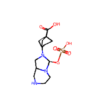 O=C(O)C12CC(N3CC4CNCCN4[C@@H]3OS(=O)(=O)O)(C1)C2